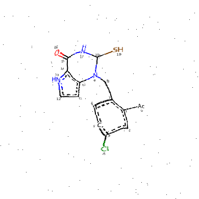 CC(=O)c1cc(Cl)ccc1CN1c2cc[nH]c2C(=O)NC1S